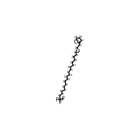 FC(F)(F)CCCCCCCCCCCCCCCCCCCOCCC1CCCO1